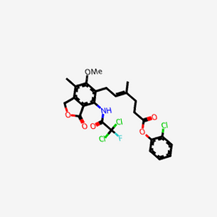 COc1c(C)c2c(c(NC(=O)C(F)(Cl)Cl)c1C/C=C(\C)CCC(=O)Oc1ccccc1Cl)C(=O)OC2